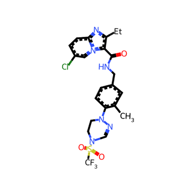 CCc1nc2ccc(Cl)cn2c1C(=O)NCc1ccc(N2CCN(S(=O)(=O)C(F)(F)F)C=N2)c(C)c1